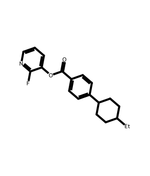 CCC1CCC(c2ccc(C(=O)Oc3cccnc3F)cc2)CC1